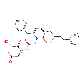 O=C(O)C[C@H](NC(=O)Cn1c(Cc2ccccc2)ccc(NC(=O)CCc2ccccc2)c1=O)C(=O)CO